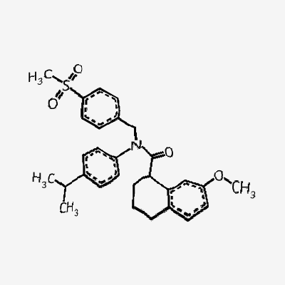 COc1ccc2c(c1)C(C(=O)N(Cc1ccc(S(C)(=O)=O)cc1)c1ccc(C(C)C)cc1)CCC2